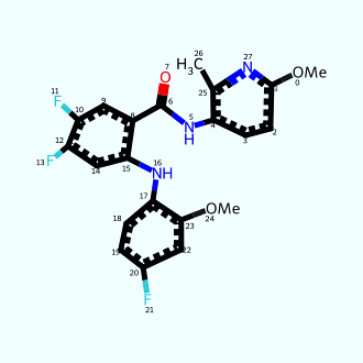 COc1ccc(NC(=O)c2cc(F)c(F)cc2Nc2ccc(F)cc2OC)c(C)n1